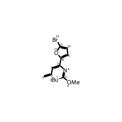 C=C/C=C(\N=C(\OC)[C@H](C)CC)c1ccc(Br)o1